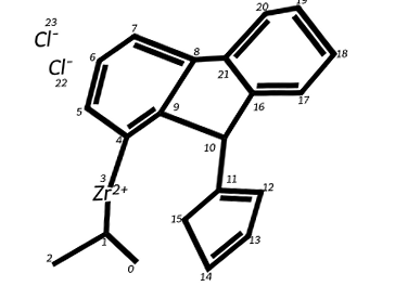 C[CH](C)[Zr+2][c]1cccc2c1C(C1=CC=CC1)c1ccccc1-2.[Cl-].[Cl-]